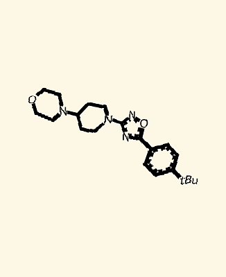 CC(C)(C)c1ccc(-c2nc(N3CCC(N4CCOCC4)CC3)no2)cc1